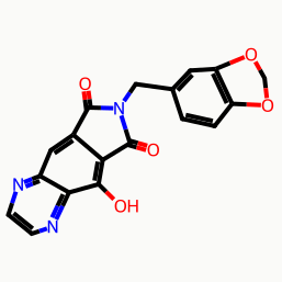 O=C1c2cc3nccnc3c(O)c2C(=O)N1Cc1ccc2c(c1)OCO2